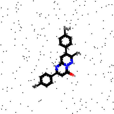 Cc1nn2c(=O)cc(-c3ccc(C#N)cc3)nc2cc1-c1ccc(C(=O)O)cc1